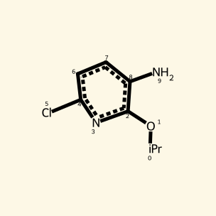 CC(C)Oc1nc(Cl)ccc1N